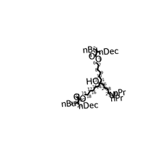 CCCCCCCCCCC(CCCC)C(=O)OCCCCCCC(O)(CCCCCCOC(=O)C(CCCC)CCCCCCCCCC)CCCCN(CCC)CCC